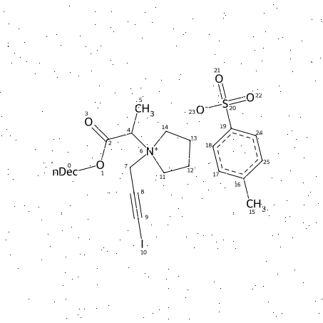 CCCCCCCCCCOC(=O)C(C)[N+]1(CC#CI)CCCC1.Cc1ccc(S(=O)(=O)[O-])cc1